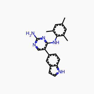 Cc1cc(C)c(Nc2nc(N)ncc2-c2ccc3[nH]ccc3c2)c(C)c1